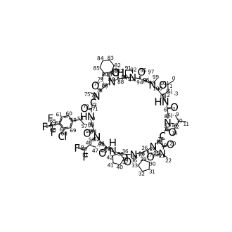 CC[C@H](C)[C@@H]1NC(=O)[C@H](CC(C)C)N(C)C(=O)C[C@@H](C(=O)N(C)C)N(C)C(=O)[C@H](C2CCCC2)N(C)C(=O)C2(CCCC2)NC(=O)[C@H](CCC(F)F)N(C)C(=O)[C@H](CCc2ccc(C(F)(F)F)c(Cl)c2)NC(=O)CN(C)C(=O)[C@H](CC2CCCCC2)N(C)C(=O)[C@@H]2CCN2C(=O)[C@H](C)N(C)C1=O